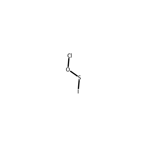 ClOSI